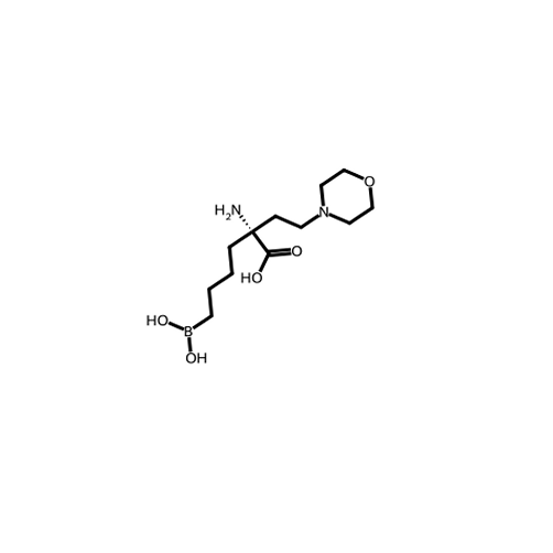 N[C@](CCCCB(O)O)(CCN1CCOCC1)C(=O)O